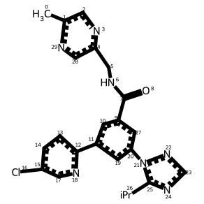 Cc1cnc(CNC(=O)c2cc(-c3ccc(Cl)cn3)cc(-n3ncnc3C(C)C)c2)cn1